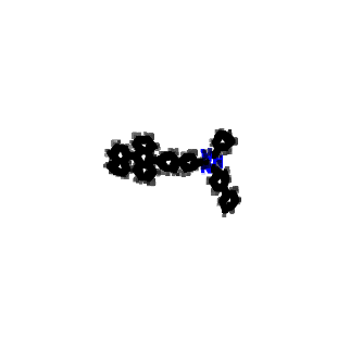 c1ccc(-c2ccc(-c3nc(-c4ccccc4)nc(-c4ccc(-c5ccc(-c6c7ccccc7c(-c7cccc8ccccc78)c7ccccc67)cc5)cc4)n3)cc2)cc1